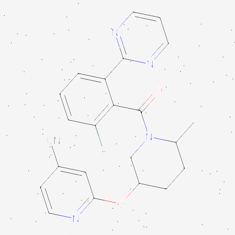 CC1CCC(Oc2cc(C#N)ccn2)CN1C(=O)c1c(F)cccc1-c1ncccn1